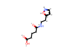 O=C(O)CCCC(=O)NCCc1ccno1